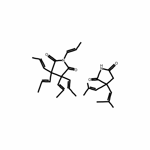 CC(C)=CC1(C=C(C)C)CC(=O)NC1=O.CC=CN1C(=O)C(C=CC)(C=CC)C(C=CC)(C=CC)C1=O